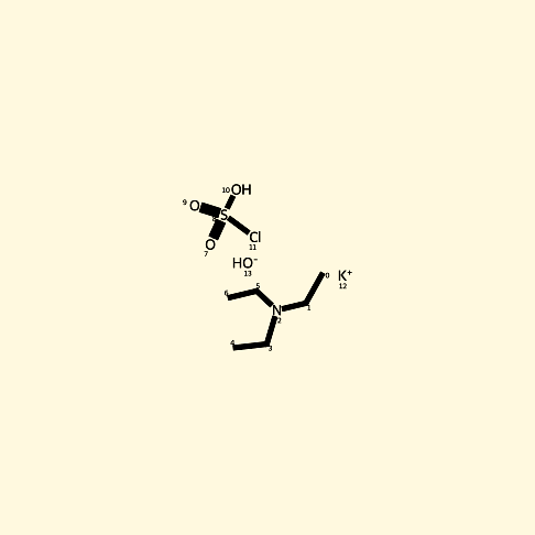 CCN(CC)CC.O=S(=O)(O)Cl.[K+].[OH-]